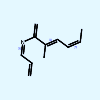 C=C/C=N\C(=C)/C(C)=C/C=C\C